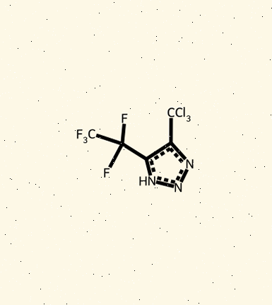 FC(F)(F)C(F)(F)c1[nH]nnc1C(Cl)(Cl)Cl